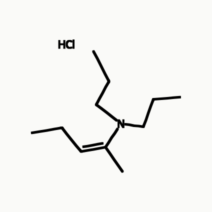 CCC=C(C)N(CCC)CCC.Cl